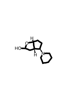 OC1C[C@H]2[C@H](N3CCCCC3)CC[C@H]2O1